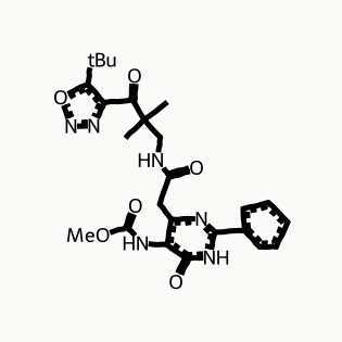 COC(=O)Nc1c(CC(=O)NCC(C)(C)C(=O)c2nnoc2C(C)(C)C)nc(-c2ccccc2)[nH]c1=O